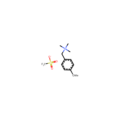 COc1ccc(C[N+](C)(C)C)cc1.O=S(=O)([O-])C(F)(F)F